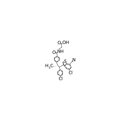 CC[C@H](c1ccc(C(=O)NCCC(=O)O)cc1)C(c1ccc(Cl)cc1)c1csc2c(C#N)cc(Cl)cc12